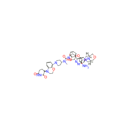 CN(C(=O)N1CCC(Oc2cccc(N3[C@@H]4COC[C@H]3CN(c3cc(-c5ccccc5O)nnc3N)C4)c2)CC1)C1CCN(c2cccc3c2OCCN3[C@@H]2CCC(=O)NC2=O)CC1